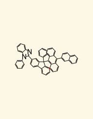 c1ccc(-n2c(-c3ccc4c(c3)C(c3ccccc3)(c3c5ccccc5c(-c5ccc6ccccc6c5)c5ccccc35)c3ccccc3-4)nc3ccccc32)cc1